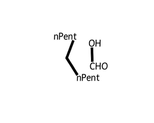 CCCCCCCCCCC.O=CO